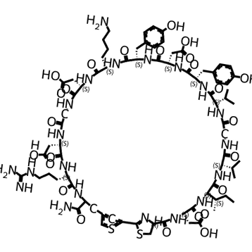 CC[C@H](C)[C@@H]1NC(=O)[C@H](CC(=O)O)NC(=O)[C@@H]2CSC(=N2)c2cc(cs2)CC(C(N)=O)NC(=O)[C@H](CCCNC(=N)N)NC(=O)[C@H](CC(=O)O)NC(=O)CNC(=O)[C@H](CC(=O)O)NC(=O)[C@H](CCCCN)NC(=O)[C@H](Cc2ccc(O)cc2)NC(=O)[C@H](CC(=O)O)NC(=O)[C@H](Cc2ccc(O)cc2)NC(=O)[C@H](C(C)C)NC(=O)CNC(=O)[C@H](C(C)C)NC1=O